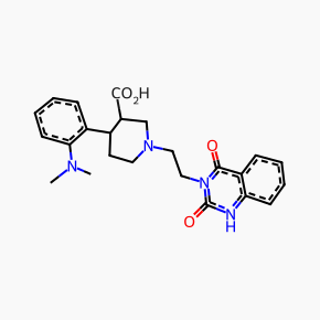 CN(C)c1ccccc1C1CCN(CCn2c(=O)[nH]c3ccccc3c2=O)CC1C(=O)O